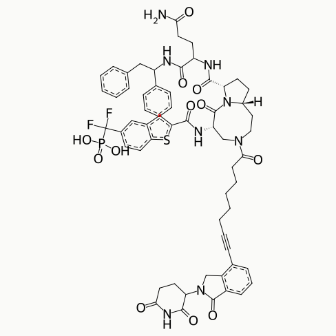 NC(=O)CCC(NC(=O)[C@@H]1CC[C@@H]2CCN(C(=O)CCCCCC#Cc3cccc4c3CN(C3CCC(=O)NC3=O)C4=O)C[C@H](NC(=O)c3cc4cc(C(F)(F)P(=O)(O)O)ccc4s3)C(=O)N21)C(=O)NC(Cc1ccccc1)c1ccccc1